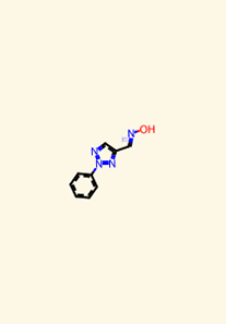 O/N=C/c1cnn(-c2ccccc2)n1